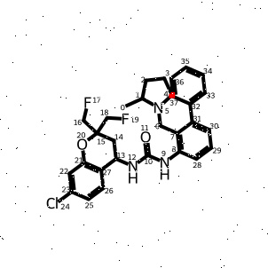 CC1CCCN1Cc1c(NC(=O)NC2CC(CF)(CF)Oc3cc(Cl)ccc32)cccc1-c1ccccc1